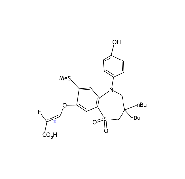 CCCCC1(CCCC)CN(c2ccc(O)cc2)c2cc(SC)c(O/C=C(\F)C(=O)O)cc2S(=O)(=O)C1